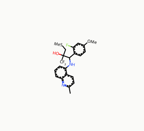 COc1ccc(C(Nc2cccc3nc(C)ccc23)C(O)(CSC)C(F)(F)F)c(F)c1